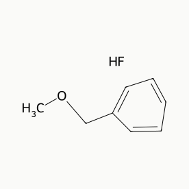 COCc1ccccc1.F